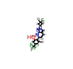 Cc1cc(C(F)(F)F)cc(O)c1-c1ccc2cn(C3CC(C)(F)C3)nc2n1